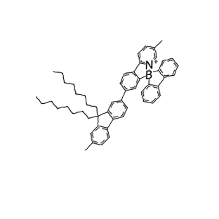 CCCCCCCCC1(CCCCCCCC)c2cc(C)ccc2-c2ccc(-c3ccc4c(c3)[B-]3(c5ccccc5-c5ccccc53)[n+]3cc(C)ccc3-4)cc21